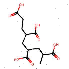 [CH2]C(CC(CC(CCC(=O)O)C(=O)O)C(=O)O)C(=O)O